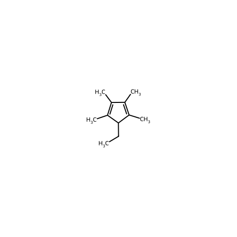 CCC1C(C)=C(C)C(C)=C1C